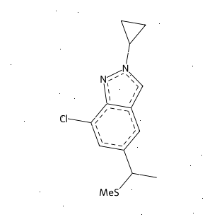 CSC(C)c1cc(Cl)c2nn(C3CC3)cc2c1